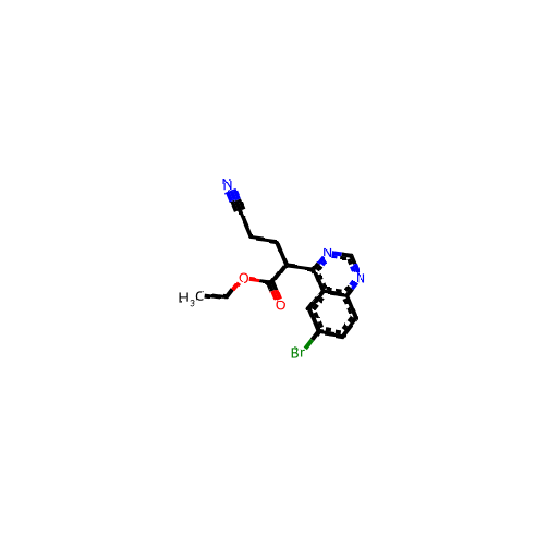 CCOC(=O)C(CCC#N)c1ncnc2ccc(Br)cc12